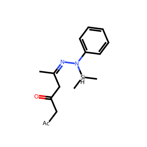 CC(=O)CC(=O)CC(C)=NN(c1ccccc1)[SiH](C)C